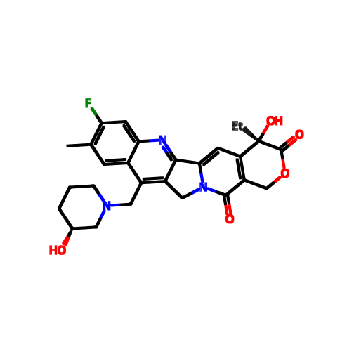 CC[C@@]1(O)C(=O)OCc2c1cc1n(c2=O)Cc2c-1nc1cc(F)c(C)cc1c2CN1CCC[C@H](O)C1